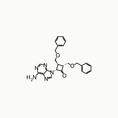 Nc1ncnc2c1ncn2[C@H]1C(=O)[C@@H](COCc2ccccc2)[C@@H]1COCc1ccccc1